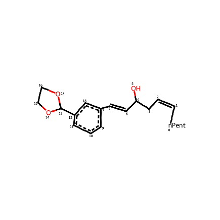 CCCCC/C=C\CC(O)/C=C/c1cccc(C2OCCO2)c1